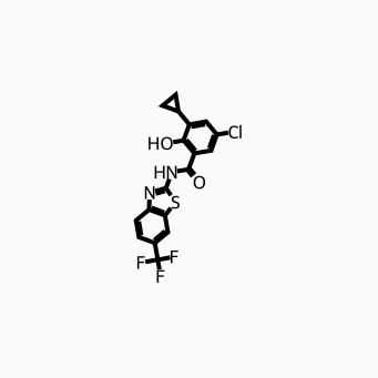 O=C(Nc1nc2ccc(C(F)(F)F)cc2s1)c1cc(Cl)cc(C2CC2)c1O